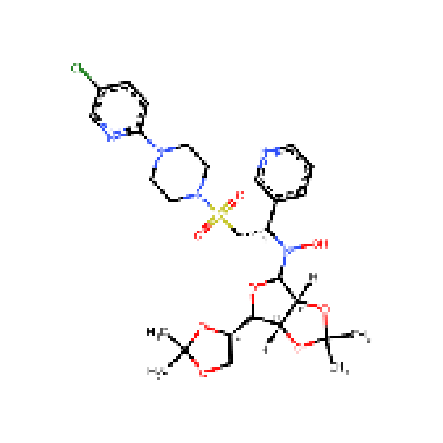 CC1(C)OC[C@H](C2OC(N(O)[C@H](CS(=O)(=O)N3CCN(c4ccc(Cl)cn4)CC3)c3cccnc3)[C@@H]3OC(C)(C)O[C@H]23)O1